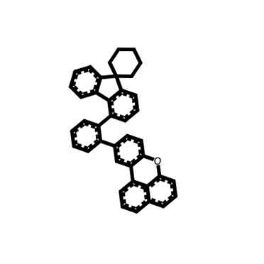 c1ccc(-c2cccc3c2-c2ccccc2C32CCCCC2)c(-c2ccc3c(c2)-c2cccc4cccc(c24)O3)c1